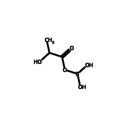 CC(O)C(=O)OB(O)O